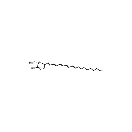 CCCCCCCCCC=CC=CC=CC=CC=CC(=O)N[C@@H](CO)C(=O)O